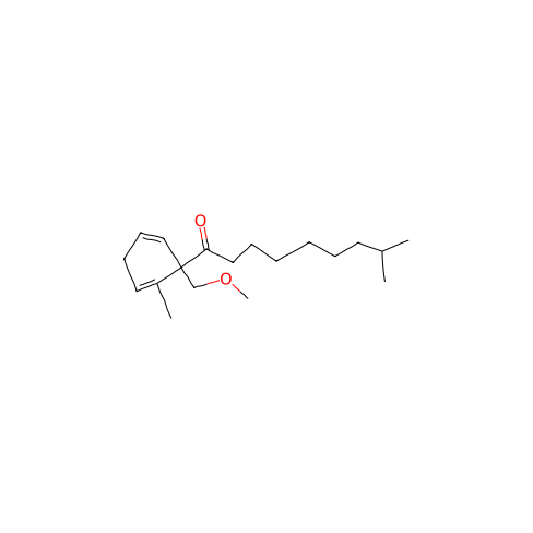 COCC1(C(=O)CCCCCCC(C)C)C=CCC=C1C